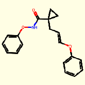 O=C(NOc1ccccc1)C1(CC=COc2ccccc2)CC1